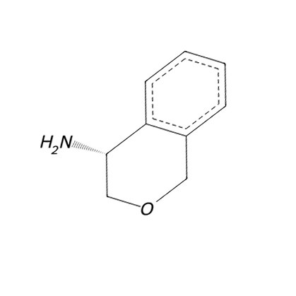 N[C@H]1COCc2ccccc21